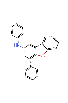 c1ccc(Nc2cc(-c3ccccc3)c3oc4ccccc4c3c2)cc1